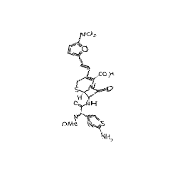 CO/N=C(/C(=O)NC1C(=O)N2C(C(=O)O)=C(/C=C/c3ccc([N+](=O)[O-])o3)CS[C@H]12)c1csc(N)n1